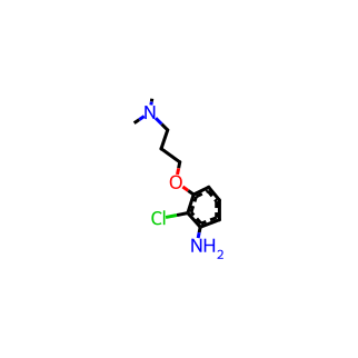 CN(C)CCCOc1cccc(N)c1Cl